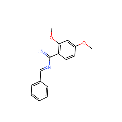 COc1ccc(C(=N)N=Cc2ccccc2)c(OC)c1